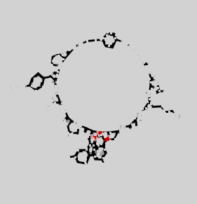 CCC(=O)N[C@H]1CC(=O)NCCOc2ccc(cc2)CCNC(=O)[C@]2(C)CCCN2C(=O)[C@H](Cc2ccc(OC)cc2)NC(=O)[C@H]([C@@H](C)O)NC(=O)[C@@H]2C[C@H](F)CN2C(=O)[C@H](Cc2c[nH]c3ccc(F)cc23)NC(=O)[C@H](Cc2c[nH]c3ccc(F)cc23)NC(=O)[C@@H](C)NC(=O)[C@H](CCCCN)NC1=O